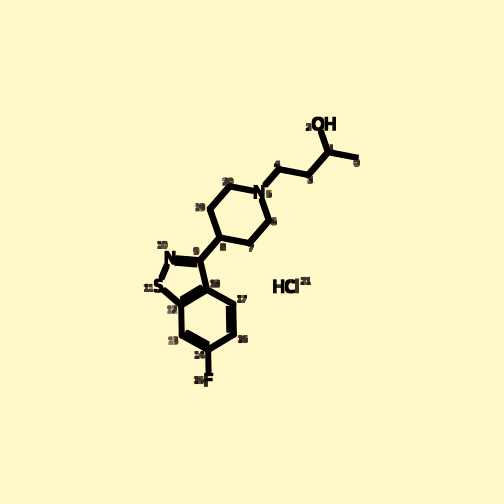 CC(O)CCN1CCC(c2nsc3cc(F)ccc23)CC1.Cl